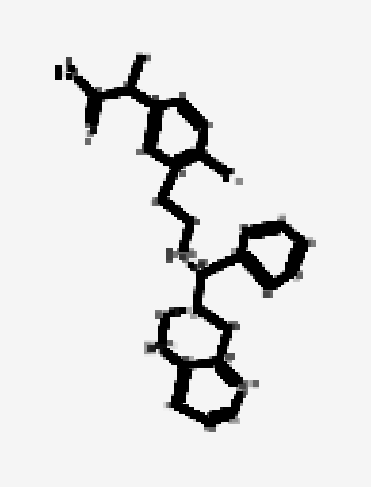 CC(C(=O)O)c1ccc(F)c(CCN[C@H](c2ccccc2)[C@H]2CNc3cccnc3C2)c1